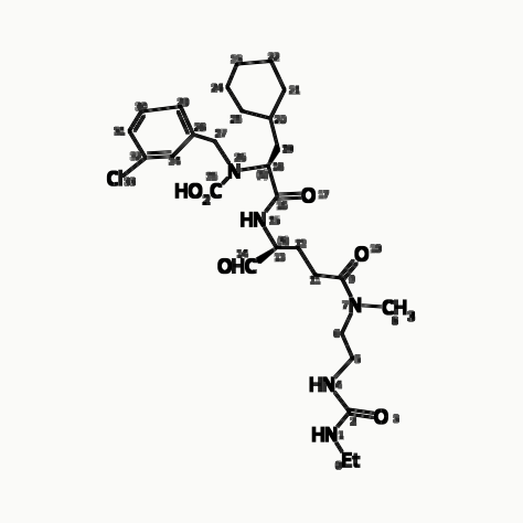 CCNC(=O)NCCN(C)C(=O)CC[C@@H](C=O)NC(=O)[C@H](CC1CCCCC1)N(Cc1cccc(Cl)c1)C(=O)O